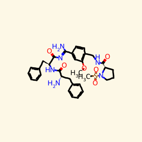 COc1cc(C(N)=NC(=O)[C@H](Cc2ccccc2)NC(=O)[C@@H](N)Cc2ccccc2)ccc1CNC(=O)[C@@H]1CCCN1S(C)(=O)=O